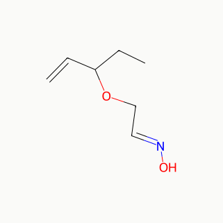 C=CC(CC)OCC=NO